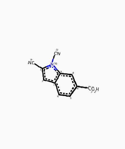 N#Cc1cc2ccc(C(=O)O)cc2n1C#N